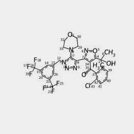 CC(C)(O)c1onc(-c2nnn(Cc3cc(C(F)(F)F)cc(C(F)(F)F)c3)c2N2CCOCC2)c1C(=O)c1ccccc1Cl